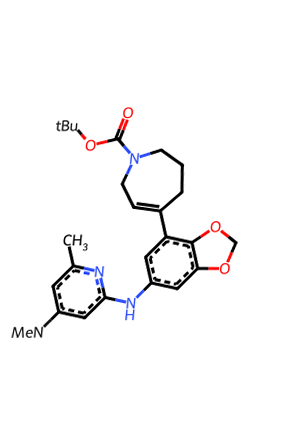 CNc1cc(C)nc(Nc2cc3c(c(C4=CCN(C(=O)OC(C)(C)C)CCC4)c2)OCO3)c1